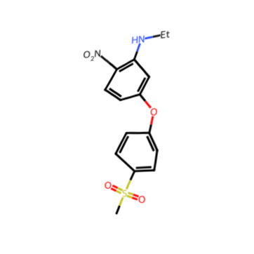 CCNc1cc(Oc2ccc(S(C)(=O)=O)cc2)ccc1[N+](=O)[O-]